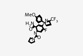 COc1ccc([N+]2(C3=CC(C(N)=O)C(=NC(=O)N4CCCC4)C=C3F)C=CC(C(F)(F)F)=N2)cc1